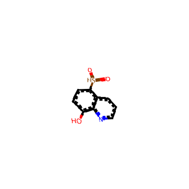 O=[SH](=O)c1ccc(O)c2ncccc12